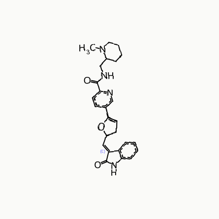 CN1CCCCC1CNC(=O)c1ccc(C2=CCC(/C=C3/C(=O)Nc4ccccc43)O2)cn1